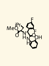 COC(=O)[C@@H](CC(C)C)N[C@@H](C(=O)Nc1ccccc1O)c1ccc(F)cc1F